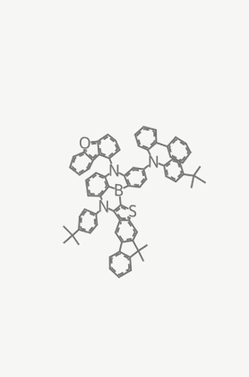 CC(C)(C)c1ccc(N(c2ccc3c(c2)N(c2cccc4oc5ccccc5c24)c2cccc4c2B3c2sc3cc5c(cc3c2N4c2ccc(C(C)(C)C)cc2)-c2ccccc2C5(C)C)c2ccccc2-c2ccccc2)cc1